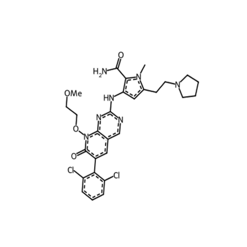 COCCOn1c(=O)c(-c2c(Cl)cccc2Cl)cc2cnc(Nc3cc(CCN4CCCC4)n(C)c3C(N)=O)nc21